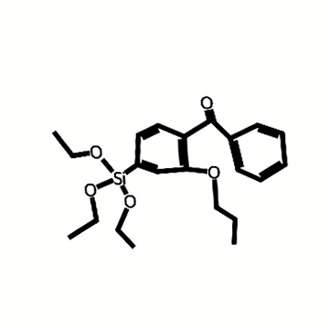 CCCOc1cc([Si](OCC)(OCC)OCC)ccc1C(=O)c1ccccc1